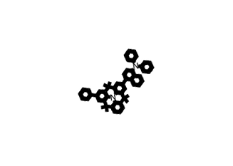 CC1(C)c2cccc3c2N2c4c1cc(-c1ccccc1)cc4C(C)(C)c1cc(-c4ccc(N(c5ccccc5)c5ccccc5)c5ccccc45)cc(c12)C3(C)C